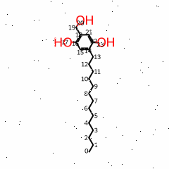 CCCCCCCCCCCCCCc1cc(O)c(CO)cc1O